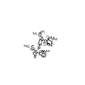 COc1ccncc1/C=C(\C#N)c1cn(C(=O)CN(C)C)c2ccc(Br)cc12.COc1ccncc1C=C(C#N)c1cn(C(=O)CC(=O)O)c2ccc(Br)cc12